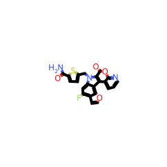 NC(=O)c1ccc(Cn2c3cc(F)c4ccoc4c3c3c4cccnc4oc(=O)c32)s1